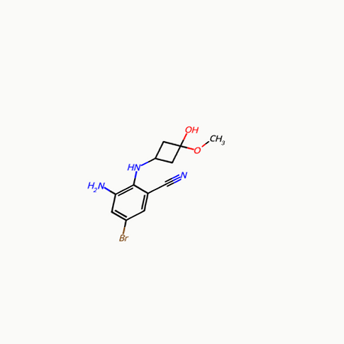 COC1(O)CC(Nc2c(N)cc(Br)cc2C#N)C1